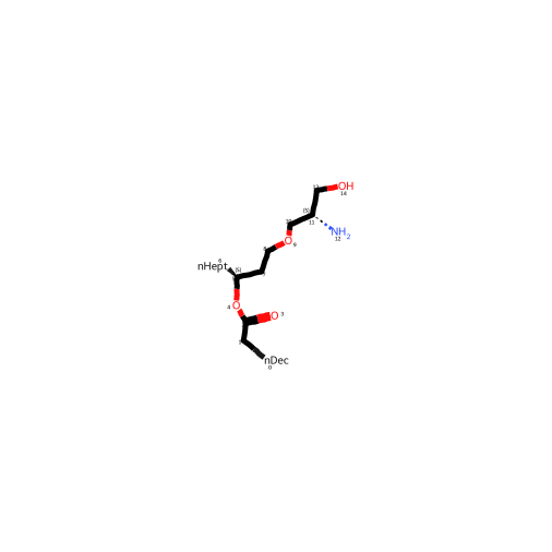 CCCCCCCCCCCC(=O)O[C@@H](CCCCCCC)CCOC[C@@H](N)CO